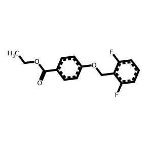 CCOC(=O)c1ccc(OCc2c(F)cccc2F)cc1